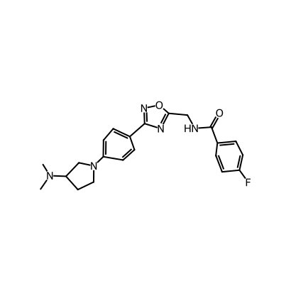 CN(C)C1CCN(c2ccc(-c3noc(CNC(=O)c4ccc(F)cc4)n3)cc2)C1